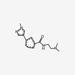 CN(C)CCNC(=O)c1c[c]cc(-c2cnn(C)c2)c1